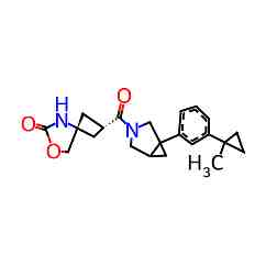 CC1(c2cccc(C34CC3CN(C(=O)[C@H]3C[C@]5(COC(=O)N5)C3)C4)c2)CC1